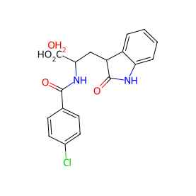 O.O=C(NC(CC1C(=O)Nc2ccccc21)C(=O)O)c1ccc(Cl)cc1